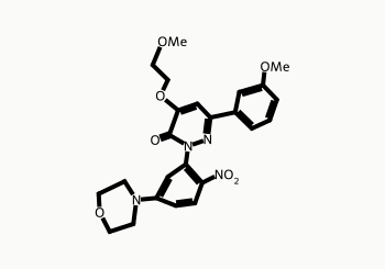 COCCOc1cc(-c2cccc(OC)c2)nn(-c2cc(N3CCOCC3)ccc2[N+](=O)[O-])c1=O